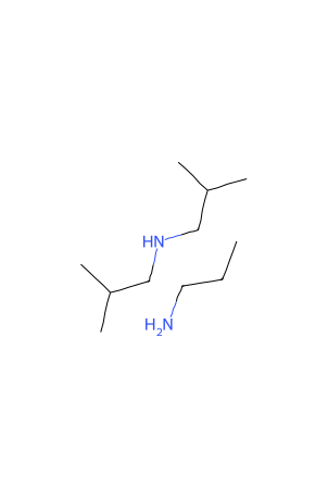 CC(C)CNCC(C)C.CCCN